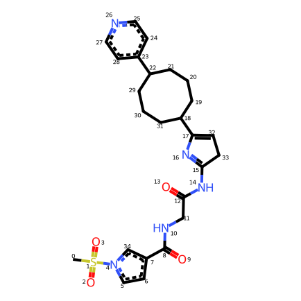 CS(=O)(=O)n1ccc(C(=O)NCC(=O)NC2=NC(C3CCCC(c4ccncc4)CCC3)=CC2)c1